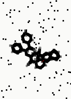 O=C(C(CN(C(=O)C1CCNCC1)c1ccncc1)NS(=O)(=O)c1ccc2ccccc2c1)N1CCCCC1